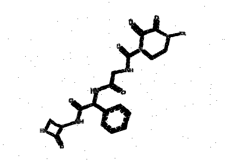 CCN1CCN(C(=O)NCC(=O)NC(C(=O)NC2CNC2=O)c2ccccc2)C(=O)C1=O